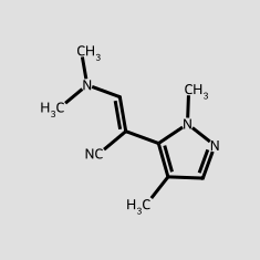 Cc1cnn(C)c1/C(C#N)=C/N(C)C